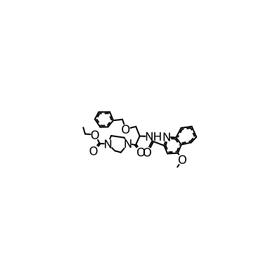 CCOC(=O)N1CCN(C(=O)C(COCc2ccccc2)NC(=O)c2cc(OC)c3ccccc3n2)CC1